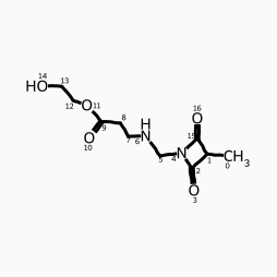 CC1C(=O)N(CNCCC(=O)OCCO)C1=O